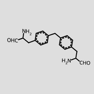 NC(C=O)Cc1ccc(Cc2ccc(CC(N)C=O)cc2)cc1